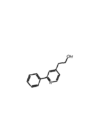 OCCc1ccnc(-c2ccccc2)c1